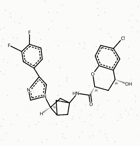 O=C(NC12CC(C1)[C@@H](n1cnc(-c3ccc(F)c(F)c3)c1)C2)[C@H]1C[C@@H](O)c2cc(Cl)ccc2O1